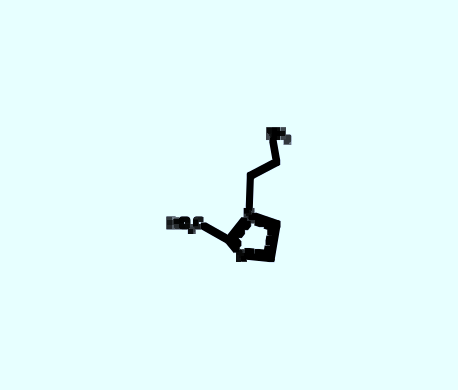 CCOC(=O)c1nccn1CCN